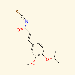 COc1cc(/C=C/C(=O)N=C=S)ccc1OC(C)C